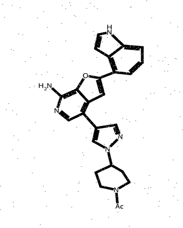 CC(=O)N1CCC(n2cc(-c3cnc(N)c4oc(-c5cccc6[nH]ccc56)cc34)cn2)CC1